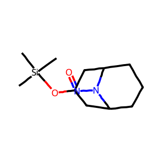 C[Si](C)(C)OC1CC2CCCC(C1)N2N=O